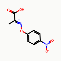 C/C(=N\Oc1ccc([N+](=O)[O-])cc1)C(=O)O